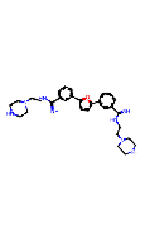 N=C(NCCN1CCNCC1)c1cccc(-c2ccc(-c3cccc(C(=N)NCCN4CCNCC4)c3)o2)c1